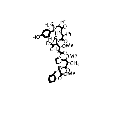 C=C(CC)[C@@H]([C@@H](CC(=O)N1CCC[C@H]1[C@H](OC)[C@@H](C)C(=O)N[C@@H](Cc1ccccc1)C(=O)OC)OC)N(C)C(=O)[C@@H](NC(=O)[C@H](C(C)C)N(C)Cc1ccc(O)cc1)C(C)C